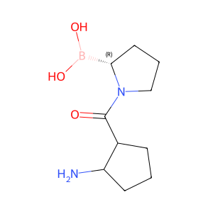 NC1CCCC1C(=O)N1CCC[C@H]1B(O)O